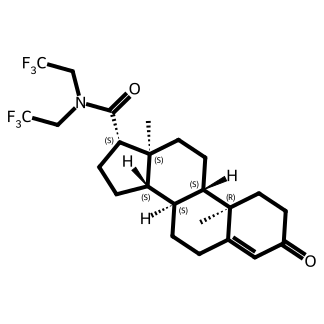 C[C@]12CC[C@H]3[C@@H](CCC4=CC(=O)CC[C@@]43C)[C@@H]1CC[C@@H]2C(=O)N(CC(F)(F)F)CC(F)(F)F